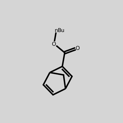 CCCCOC(=O)C1=CC2C=CC1C2